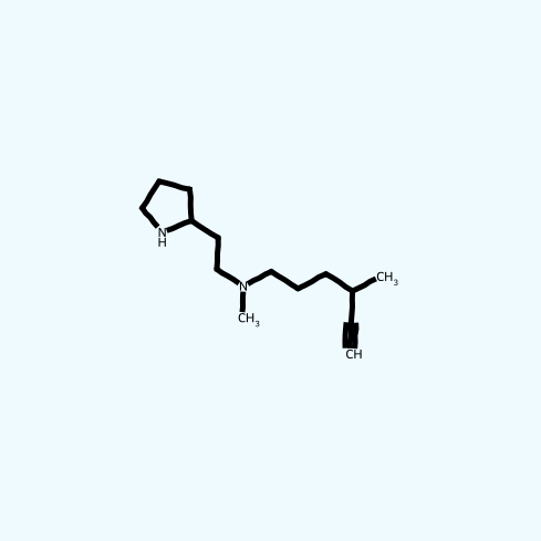 C#CC(C)CCCN(C)CCC1CCCN1